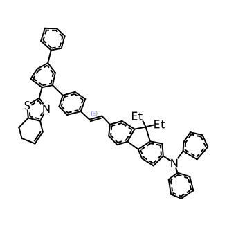 CCC1(CC)c2cc(/C=C/c3ccc(-c4cc(-c5ccccc5)ccc4-c4nc5c(s4)CCC=C5)cc3)ccc2-c2ccc(N(c3ccccc3)c3ccccc3)cc21